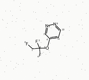 FCC(F)(F)Oc1[c]nncc1